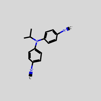 [C-]#[N+]c1ccc(N(c2ccc([N+]#[C-])cc2)C(C)C)cc1